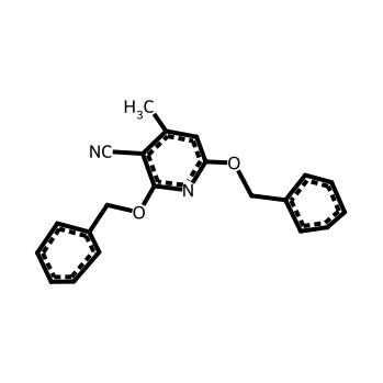 Cc1cc(OCc2ccccc2)nc(OCc2ccccc2)c1C#N